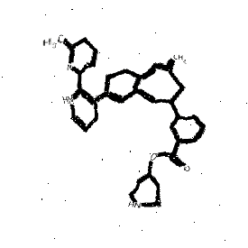 C=C1C=C2CCC(C3=C(C4CCCC(C)=N4)NC=CC3)=CC2=CC(C2C=C(C(=O)OC3CCNCC3)CCC2)C1